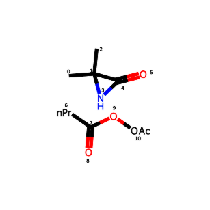 CC1(C)NC1=O.CCCC(=O)OOC(C)=O